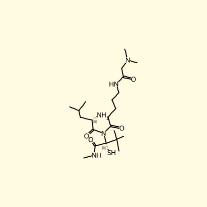 CNC(=O)[C@@](S)(N(C(=O)CCCCNC(=O)CN(C)C)C(=O)[C@@H](N)CC(C)C)C(C)(C)C